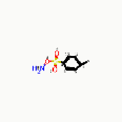 Cc1ccc(S(=O)(=O)ON)cc1